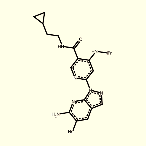 CC(C)Nc1cc(-n2ncc3cc(C#N)c(N)nc32)ncc1C(=O)NCCC1CC1